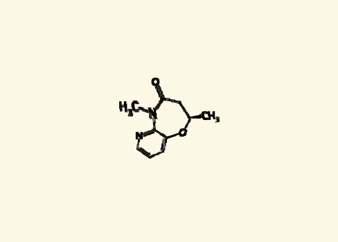 C[C@@H]1CC(=O)N(C)c2ncccc2O1